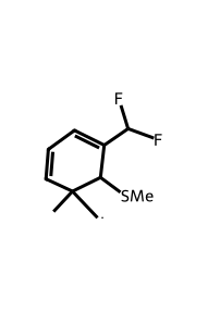 [CH2]C1(C)C=CC=C(C(F)F)C1SC